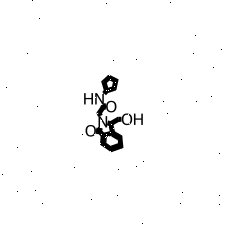 O=C(CN1C(=O)c2ccccc2C1CO)NC1CCCC1